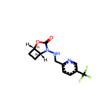 O=C1O[C@H]2CC[C@H]2N1NCc1ccc(C(F)(F)F)cn1